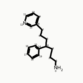 NCCCC(CCCc1cccnc1)c1ccccc1